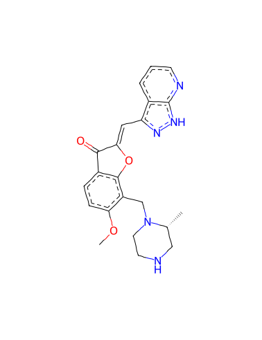 COc1ccc2c(c1CN1CCNC[C@H]1C)OC(=Cc1n[nH]c3ncccc13)C2=O